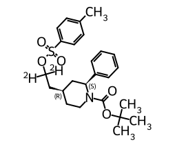 [2H]C([2H])(C[C@@H]1CCN(C(=O)OC(C)(C)C)[C@H](c2ccccc2)C1)OS(=O)(=O)c1ccc(C)cc1